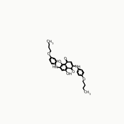 CCCCOc1ccc(NC2=CC(=O)c3c(O)c(Nc4ccc(OCCCC)cc4)cc(O)c3C2=O)cc1